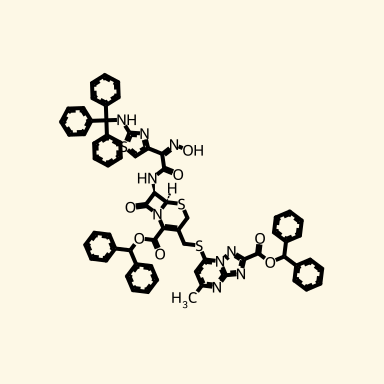 Cc1cc(SCC2=C(C(=O)OC(c3ccccc3)c3ccccc3)N3C(=O)[C@@H](NC(=O)/C(=N\O)c4csc(NC(c5ccccc5)(c5ccccc5)c5ccccc5)n4)[C@H]3SC2)n2nc(C(=O)OC(c3ccccc3)c3ccccc3)nc2n1